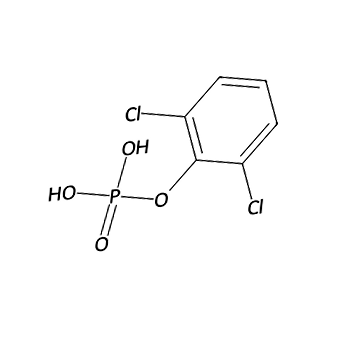 O=P(O)(O)Oc1c(Cl)cccc1Cl